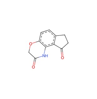 O=C1COc2ccc3c(c2N1)C(=O)CC3